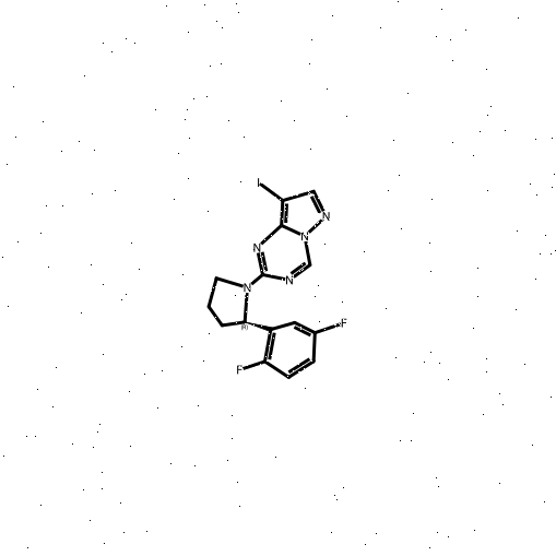 Fc1ccc(F)c([C@H]2CCCN2c2ncn3ncc(I)c3n2)c1